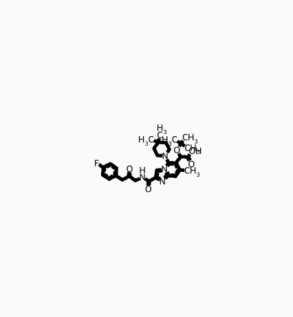 Cc1cc2nc(C(=O)NCC(=O)Cc3ccc(F)cc3)cn2c(N2CCC(C)(C)CC2)c1C(OC(C)(C)C)C(=O)O